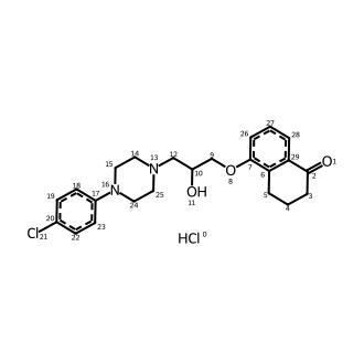 Cl.O=C1CCCc2c(OCC(O)CN3CCN(c4ccc(Cl)cc4)CC3)cccc21